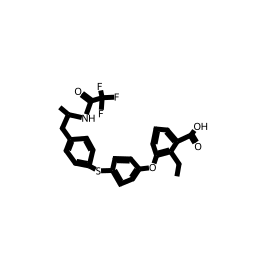 CCc1c(Oc2ccc(Sc3ccc(CC(C)NC(=O)C(F)(F)F)cc3)cc2)cccc1C(=O)O